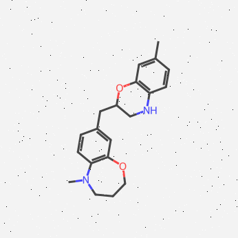 Cc1ccc2c(c1)OC(Cc1ccc3c(c1)OCCCN3C)CN2